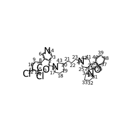 O=C(c1ccncc1-c1ccc(Cl)c(Cl)c1)N1CCCC(CCCN2CCC(C(=O)N3CCCC3)(c3ccccc3)CC2)C1